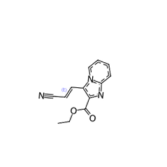 CCOC(=O)c1nc2ccccn2c1/C=C/C#N